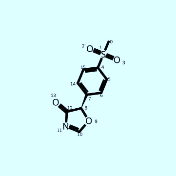 CS(=O)(=O)c1ccc([C@H]2OC=NC2=O)cc1